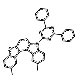 Cc1ccc2sc3ccc4c(c5cc(C)ccc5n4-c4nc(-c5ccccc5)nc(-c5ccccc5)n4)c3c2c1